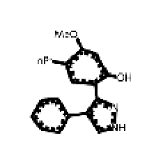 CCCc1cc(-c2n[nH]cc2-c2ccccc2)c(O)cc1OC